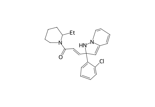 CCC1CCCCN1C(=O)C=CC1(c2ccccc2Cl)C=C2C=CC=CN2N1